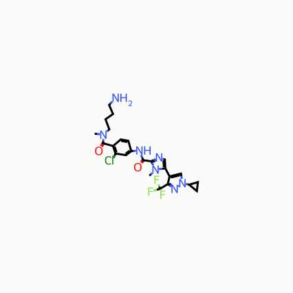 CN(CCCCN)C(=O)c1ccc(NC(=O)c2ncc(-c3cn(C4CC4)nc3C(F)(F)F)n2C)cc1Cl